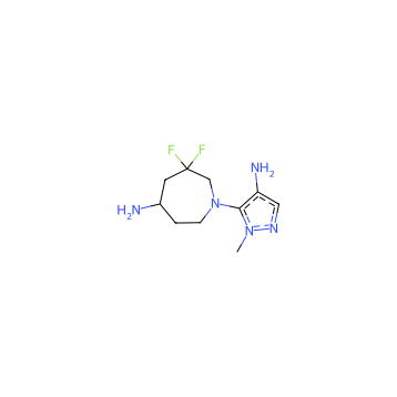 Cn1ncc(N)c1N1CCC(N)CC(F)(F)C1